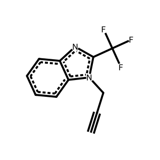 C#CCn1c(C(F)(F)F)nc2ccccc21